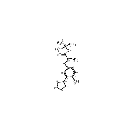 CC(C)(C)OC(=O)[C@@H](N)Cc1ccc(O)c(C2CCCC2)c1